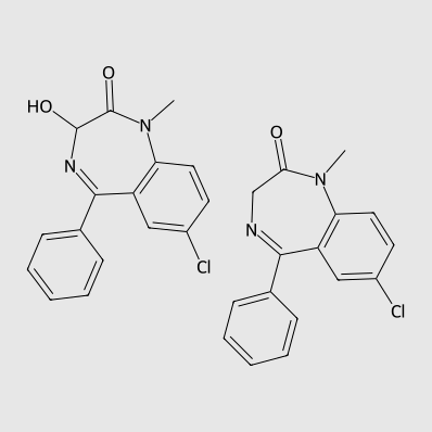 CN1C(=O)C(O)N=C(c2ccccc2)c2cc(Cl)ccc21.CN1C(=O)CN=C(c2ccccc2)c2cc(Cl)ccc21